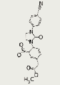 COC(=O)CC1=CC(=S(=O)=O)C(N2CCN(c3ccc(C#N)cc3)C2=O)C=C1